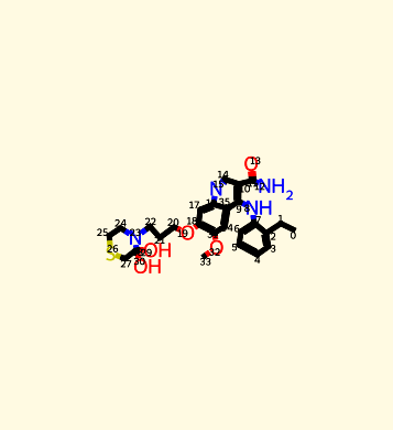 CCc1ccccc1Nc1c(C(N)=O)cnc2cc(OCCCN3CCSCC3(O)O)c(OC)cc12